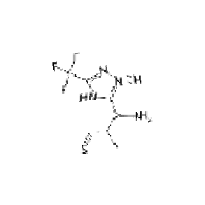 CC(C=S)C(N)c1nnc(C(F)(F)F)[nH]1.Cl